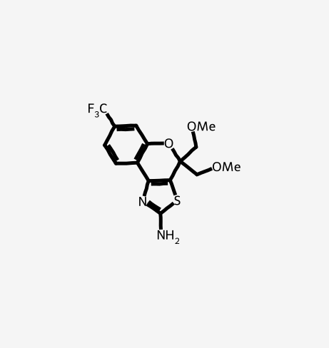 COCC1(COC)Oc2cc(C(F)(F)F)ccc2-c2nc(N)sc21